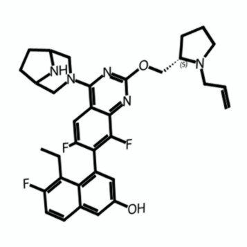 C=CCN1CCC[C@H]1COc1nc(N2CC3CCC(C2)N3)c2cc(F)c(-c3cc(O)cc4ccc(F)c(CC)c34)c(F)c2n1